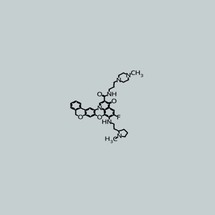 CN1CCN(CCCNC(=O)c2cn3c4c(c(NCCC5CCCN5C)c(F)cc4c2=O)Oc2cc4c(cc2-3)-c2ccccc2CO4)CC1